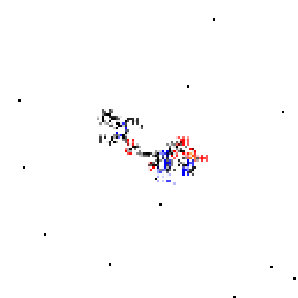 Cc1nccn1P(=O)(O)OC[C@H]1O[C@@H](n2cc(C#CCCC(=O)OCC3CN(C)C(Cc4ccccc4)CN3C)c3c(=O)[nH]c(N)nc32)C[C@H]1O